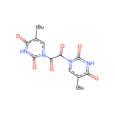 CC(C)(C)c1cn(C(=O)C(=O)n2cc(C(C)(C)C)c(=O)[nH]c2=O)c(=O)[nH]c1=O